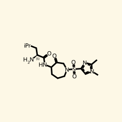 Cc1nc(S(=O)(=O)N2CCCC(NC(=O)[C@@H](N)CC(C)C)C(=O)C2)cn1C